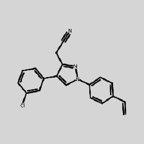 C=Cc1ccc(-n2cc(-c3cccc(Cl)c3)c(CC#N)n2)cc1